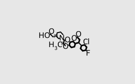 C[C@@H](Oc1ccc2c(-c3ccc(F)cc3Cl)cc(=O)oc2c1)C(=O)N1CCC[C@H](CC(=O)O)C1